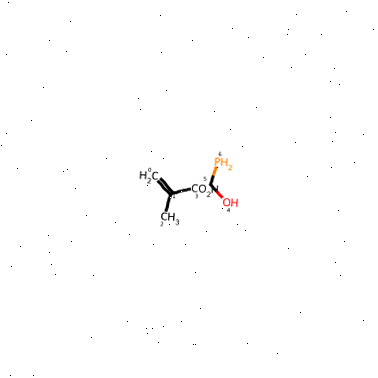 C=C(C)C(=O)O.OCP